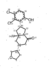 O=C1CN([C@@H]2CCOC2)C[C@@H]2C[C@H](c3c(O)ccc(Cl)c3Cl)CN12